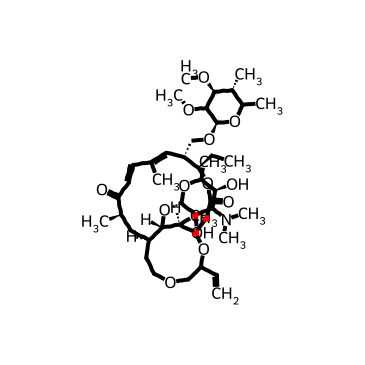 C=CC1COCC[C@H]2C[C@@H](C)C(=O)/C=C/C(C)=C/[C@H](CO[C@@H]3OC(C)[C@@H](C)[C@H](OC)C3OC)[C@@H](CC)OC(=O)C[C@@H](O1)[C@H](C)[C@H]2O[C@@H]1OC(C)[C@@H](O)C(N(C)C)C1O